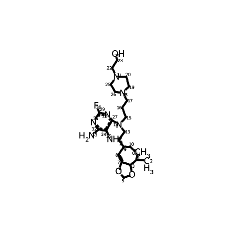 CC(C)C1OCO/C1=C/C(CI)CCN(CCCN1CCN(CCO)CC1)c1nc(F)nc(N)c1N